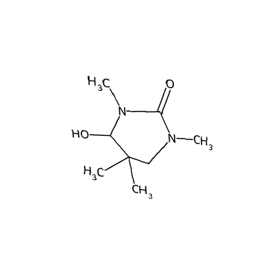 CN1CC(C)(C)C(O)N(C)C1=O